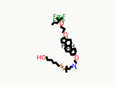 CCCC(OCCCO[C@H]1CC[C@H]2[C@@H]3CCc4cc(OCCN(C)CCC(C)(C)SSCCCCCCO)ccc4[C@H]3CC[C@]12C)(C(F)(F)F)C(F)(F)F